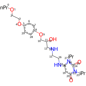 CCCOCCOc1ccc(OCC(O)CNCCNc2cc(=O)n(C(C)C)c(=O)n2C(C)C)cc1